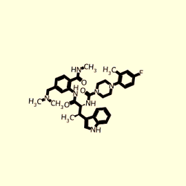 CNC(=O)c1ccc(CN(C)C)cc1NC(=O)[C@H](NC(=O)N1CCN(c2ccc(F)cc2C)CC1)[C@H](C)c1c[nH]c2ccccc12